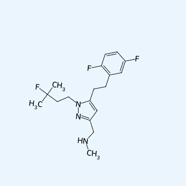 CNCc1cc(CCc2cc(F)ccc2F)n(CCC(C)(C)F)n1